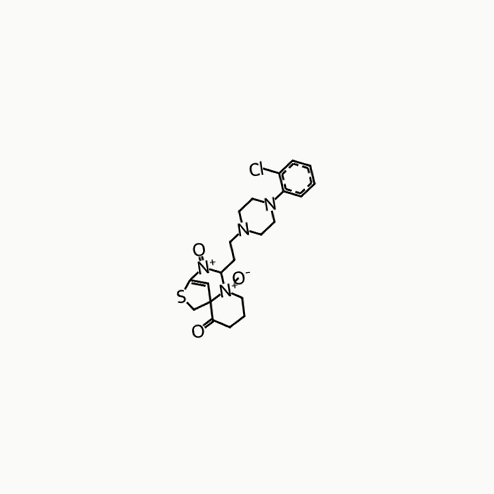 O=C1CCC[N+]2([O-])C(CCN3CCN(c4ccccc4Cl)CC3)[N+](=O)C3=CC12CS3